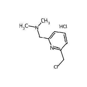 CN(C)Cc1cccc(CCl)n1.Cl